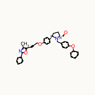 Cc1nc(-c2ccccc2)oc1C#CCOc1ccc([C@H]2CC[C@H](C=O)N2Cc2ccc(Oc3ccccc3)cc2)cc1